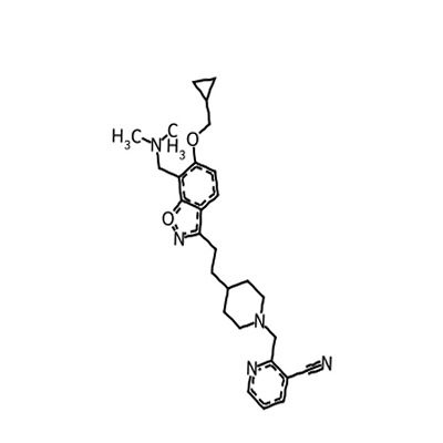 CN(C)Cc1c(OCC2CC2)ccc2c(CCC3CCN(Cc4ncccc4C#N)CC3)noc12